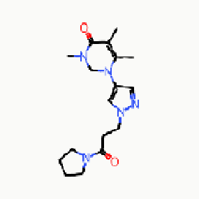 CC1=C(C)N(c2cnn(CCC(=O)N3CCCC3)c2)CN(C)C1=O